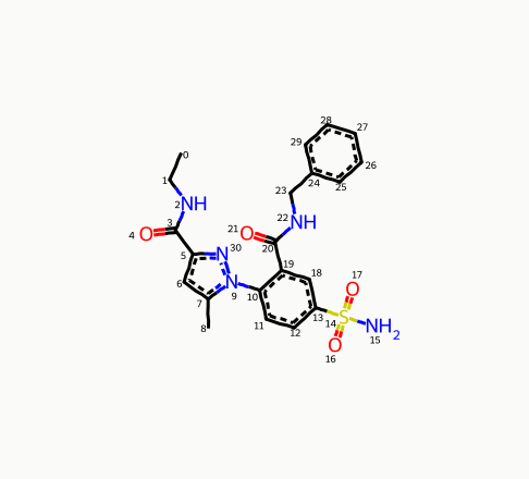 CCNC(=O)c1cc(C)n(-c2ccc(S(N)(=O)=O)cc2C(=O)NCc2ccccc2)n1